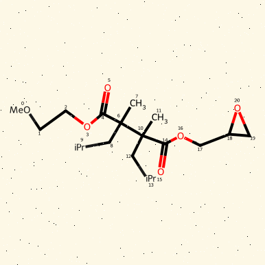 COCCOC(=O)C(C)(CC(C)C)C(C)(CC(C)C)C(=O)OCC1CO1